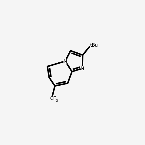 CC(C)(C)c1cn2ccc(C(F)(F)F)cc2n1